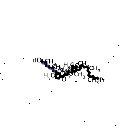 CC1=C(/C=C/C(C)=C/C=C/C(C)=C/CO)C(C)(C)C(C(=O)CCC(=O)Oc2c(C)c(C)c3c(c2C)CCC(C)(CCCC(C)CCCC(C)CCCC(C)C)O3)CC1